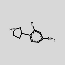 Nc1ccc(C2CCNC2)c(F)c1